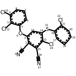 N#Cc1c(Oc2cccc(Cl)c2Cl)cc(Sc2ccccc2Cl)c(Cl)c1C#N